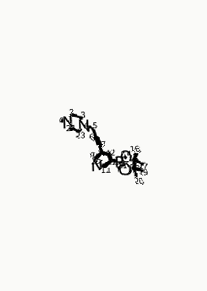 CN1CCN(CC#Cc2cncc(B3OC(C)(C)C(C)(C)O3)c2)CC1